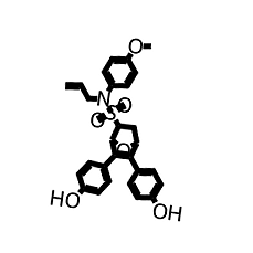 C=CCN(c1ccc(OC)cc1)S(=O)(=O)C1CC2OC1C(c1ccc(O)cc1)=C2c1ccc(O)cc1